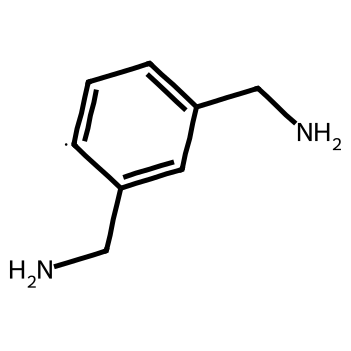 NCc1[c]ccc(CN)c1